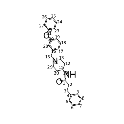 O=C(CCc1ccccc1)NC1CCN(Cc2cccc(Oc3ccccc3)c2)CC1